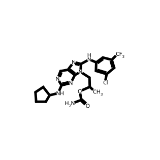 CC(Cn1c(Nc2cc(Cl)cc(C(F)(F)F)c2)nc2cnc(NC3CCCC3)nc21)OC(N)=O